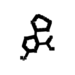 Cc1cnc(-c2ncccn2)c(C(=O)O)n1